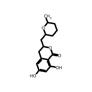 CC1CCCC(CC2Cc3cc(O)cc(O)c3C(=O)O2)O1